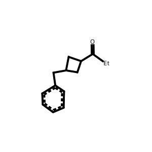 CCC(=O)C1CC(Cc2ccccc2)C1